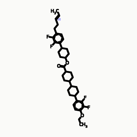 C/C=C/CCc1ccc(C2CCC(OC(=O)C3CCC(C4CCC(c5ccc(OCC)c(F)c5F)CC4)CC3)CC2)c(F)c1F